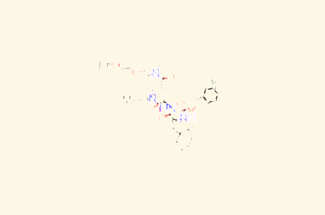 CCOCCOCCN(C)C(=O)CC[C@H](NC(=O)[C@H](CC1CCCCC1)NC(=O)OCc1cccc(Cl)c1)C(=O)N(C)OC